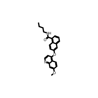 CCCCNC(=O)c1cccc2cc(Oc3ccnc4cc(OC)ccc34)ccc12